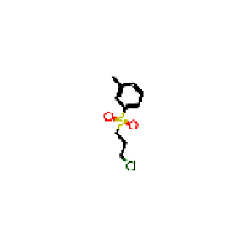 Cc1cccc(S(=O)(=O)CCCCl)c1